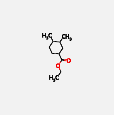 CCOC(=O)C1CCC(C)C(C)C1